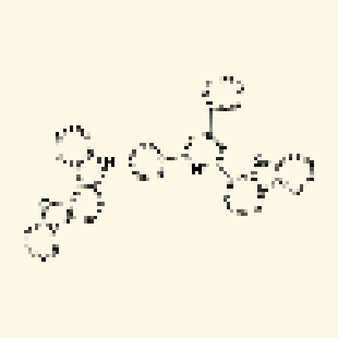 c1ccc(-c2cc(-c3ccc(-n4c5ccccc5c5c6oc7ccccc7c6ccc54)cc3)nc(-c3cccc4c3sc3ccccc34)c2)cc1